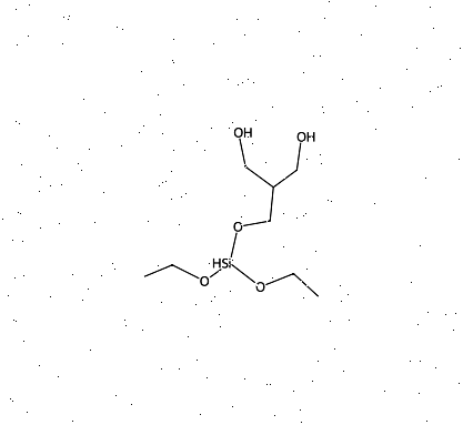 CCO[SiH](OCC)OCC(CO)CO